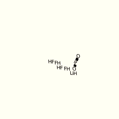 F.F.F.F.O=[P]=O.[LiH]